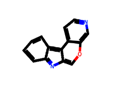 c1ccc2c3c4ccncc4occ-3nc2c1